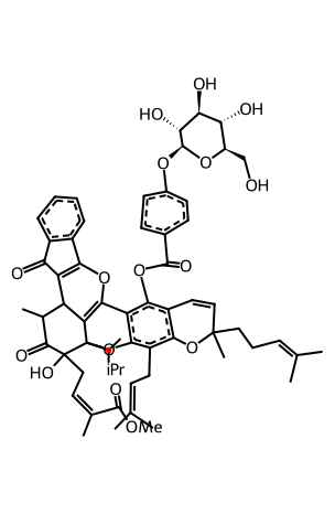 COC(=O)/C(C)=C\CC1(O)C(=O)C(C)C2C3=C(OC4=C2C1(C(C)C(C)C)Oc1c(CC=C(C)C)c2c(c(OC(=O)c5ccc(O[C@@H]6O[C@H](CO)[C@@H](O)[C@H](O)[C@H]6O)cc5)c14)C=CC(C)(CCC=C(C)C)O2)c1ccccc1C3=O